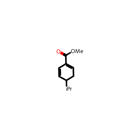 COC(=O)C1=CCC(C(C)C)C=C1